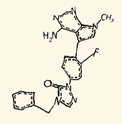 Cn1cc(-c2ccc(-n3ncn(Cc4ccccc4)c3=O)cc2F)c2c(N)ncnc21